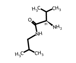 C[C](C)CNC(=O)[C@H](N)C(C)C